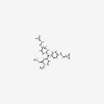 CCc1cc(N(c2ccc(OCC3CO3)cc2)c2ccc(OCC3CO3)cc2)ccc1C